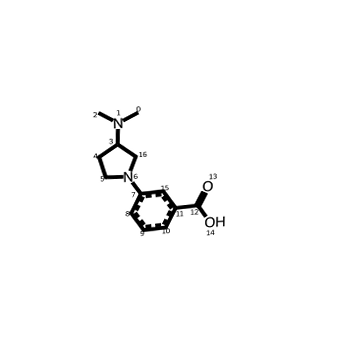 CN(C)C1CCN(c2cccc(C(=O)O)c2)C1